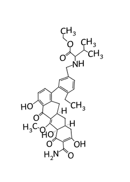 CCOC(=O)C(NCc1ccc(CC)c(-c2ccc(O)c3c2C[C@H]2C[C@H]4CC(O)=C(C(N)=O)C(=O)[C@@]4(O)C(OC)=C2C3=O)c1)C(C)C